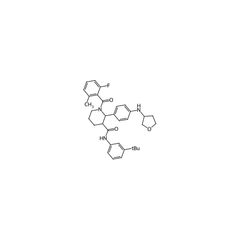 Cc1cccc(F)c1C(=O)N1CCCC(C(=O)Nc2cccc(C(C)(C)C)c2)C1c1ccc(NC2CCOC2)cc1